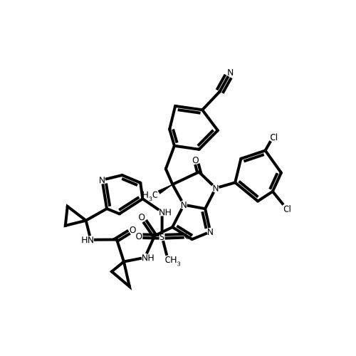 C[C@@]1(Cc2ccc(C#N)cc2)C(=O)N(c2cc(Cl)cc(Cl)c2)c2ncc(C(=O)NC3(C(=O)NC4(c5cc(NS(C)(=O)=O)ccn5)CC4)CC3)n21